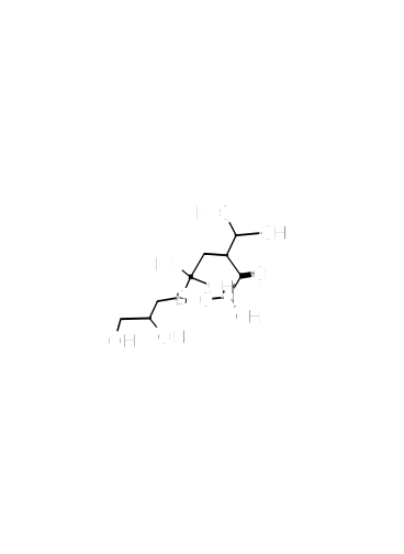 CC(C)C(CC(C)(C)SCC(O)CO)C(=O)N(C)C